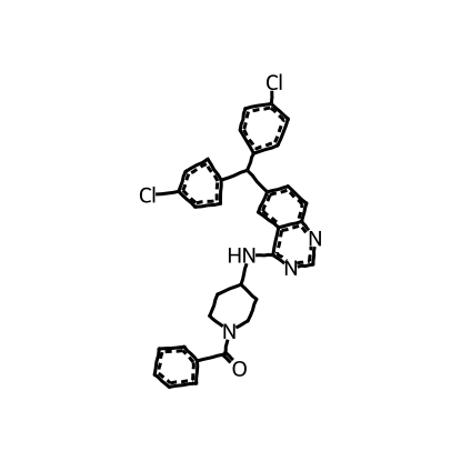 O=C(c1ccccc1)N1CCC(Nc2ncnc3ccc(C(c4ccc(Cl)cc4)c4ccc(Cl)cc4)cc23)CC1